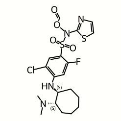 CN(C)[C@H]1CCCCC[C@@H]1Nc1cc(F)c(S(=O)(=O)N(OC=O)c2nccs2)cc1Cl